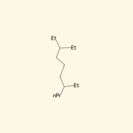 [CH2]CCC(CC)CCCC(CC)CC